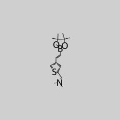 CN(C)Cc1cc(C=CB2OC(C)(C)C(C)(C)O2)cs1